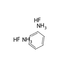 F.F.N.N.c1ccccc1